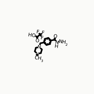 CN1CCN(Cc2ccc(C(=O)NN)cc2)CC1.O=C(O)C(F)(F)F